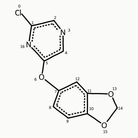 Clc1cncc(Oc2ccc3c(c2)OCO3)n1